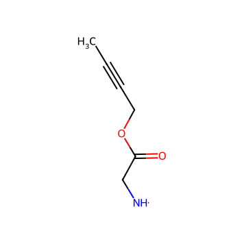 CC#CCOC(=O)C[NH]